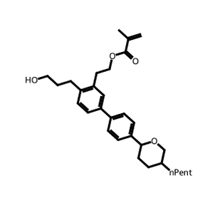 C=C(C)C(=O)OCCc1cc(-c2ccc(C3CCC(CCCCC)CO3)cc2)ccc1CCCO